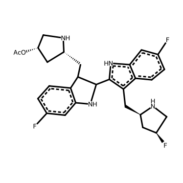 CC(=O)O[C@@H]1CN[C@H](CC2c3ccc(F)cc3NC2c2[nH]c3cc(F)ccc3c2C[C@@H]2C[C@H](F)CN2)C1